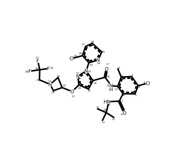 Cc1cc(Cl)cc(C(=O)NC(C)(C)C)c1NC(=O)c1cc(OC2CN(CC(F)(F)F)C2)nn1-c1ncccc1Cl